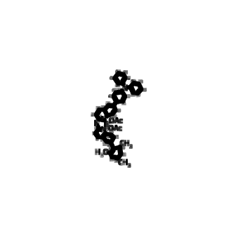 CC(=O)O[B-]1(OC(C)=O)N2C(=Nc3ccc4cc(-c5c(C)cc(C)cc5C)ccc4[n+]31)C=CC1C=C(c3ccc(N(c4ccccc4)c4ccccc4)cc3)C=CC12